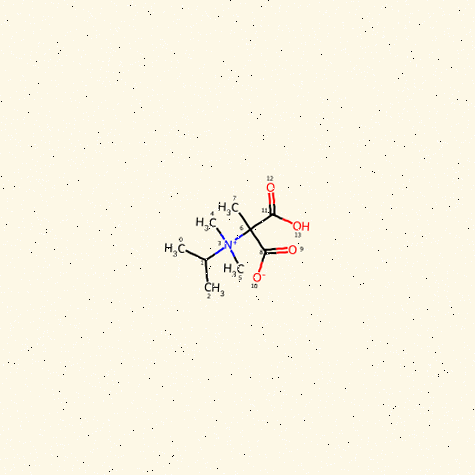 CC(C)[N+](C)(C)C(C)(C(=O)[O-])C(=O)O